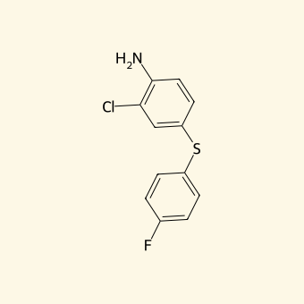 Nc1ccc(Sc2ccc(F)cc2)cc1Cl